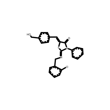 O=C1C(=Cc2ccc(CO)cc2)SC(=NCc2ccccc2Cl)N1c1ccccc1